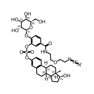 C[C@]12CC[C@@H]3c4ccc(OS(=O)(=O)Oc5cc(C(=O)NCCOCCN=[N+]=[N-])ccc5O[C@@H]5O[C@H](CO)[C@H](O)[C@H](O)[C@H]5O)cc4CC[C@H]3[C@@H]1CC[C@@H]2O